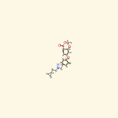 CC1(C)OC(=O)c2ccc(Oc3ccc(CNCCC4CC4)cc3F)cc2O1